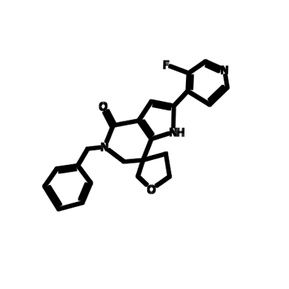 O=C1c2cc(-c3ccncc3F)[nH]c2C2(CCOC2)CN1Cc1ccccc1